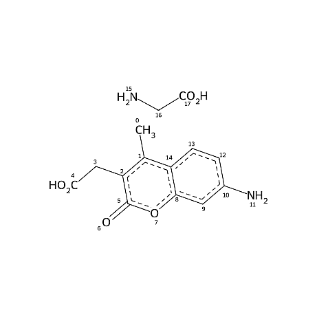 Cc1c(CC(=O)O)c(=O)oc2cc(N)ccc12.NCC(=O)O